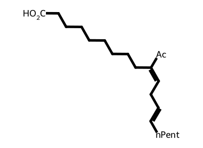 CCCCC/C=C/C/C=C(\CCCCCCCCC(=O)O)C(C)=O